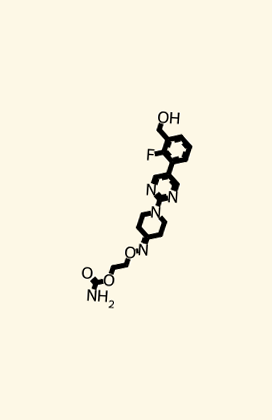 NC(=O)OCCON=C1CCN(c2ncc(-c3cccc(CO)c3F)cn2)CC1